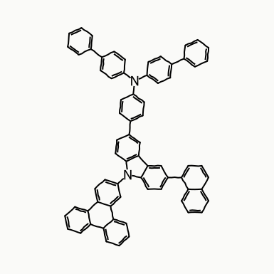 c1ccc(-c2ccc(N(c3ccc(-c4ccccc4)cc3)c3ccc(-c4ccc5c(c4)c4cc(-c6cccc7ccccc67)ccc4n5-c4ccc5c6ccccc6c6ccccc6c5c4)cc3)cc2)cc1